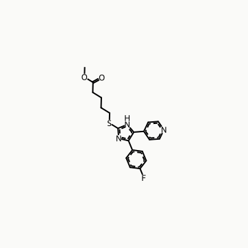 COC(=O)CCCCSc1nc(-c2ccc(F)cc2)c(-c2ccncc2)[nH]1